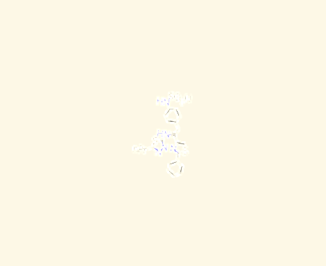 CCCc1nnc(N[C@@H](Cc2ccc(NS(=O)(=O)O)cc2)c2csc(-c3ccccc3)n2)s1